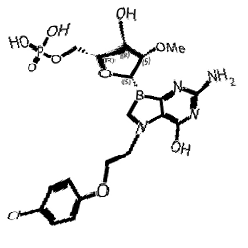 CO[C@@H]1[C@H](O)[C@@H](COP(=O)(O)O)O[C@H]1B1CN(CCOc2ccc(Cl)cc2)c2c(O)nc(N)nc21